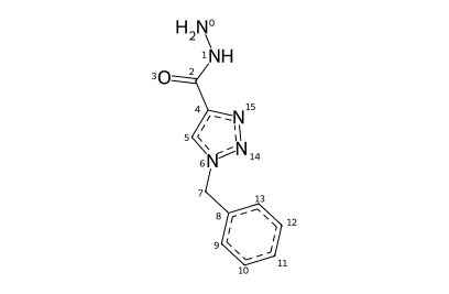 NNC(=O)c1cn(Cc2ccccc2)nn1